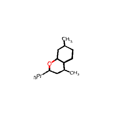 CCCC1CC(C)C2CCC(C)CC2O1